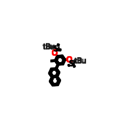 Cc1c(O[Si](C)(C)C(C)(C)C)cc(O[Si](C)(C)C(C)(C)C)cc1-c1ccc2ccccc2c1